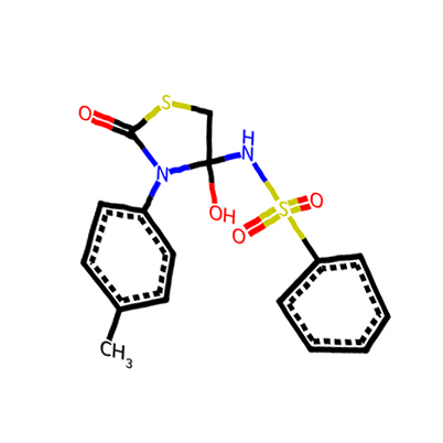 Cc1ccc(N2C(=O)SCC2(O)NS(=O)(=O)c2ccccc2)cc1